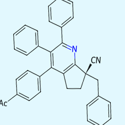 CC(=O)c1ccc(-c2c3c(nc(-c4ccccc4)c2-c2ccccc2)[C@](C#N)(Cc2ccccc2)CC3)cc1